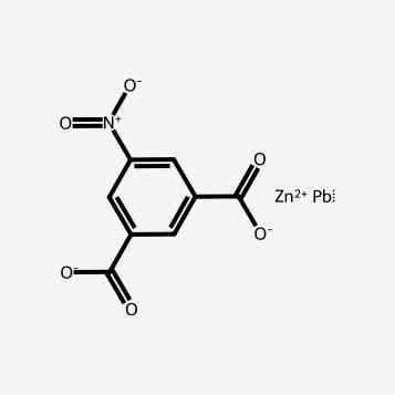 O=C([O-])c1cc(C(=O)[O-])cc([N+](=O)[O-])c1.[Pb].[Zn+2]